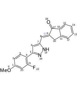 COc1ccc(-c2cc(/C=C3\Cc4ccccc4C3=O)[nH]n2)c(F)c1